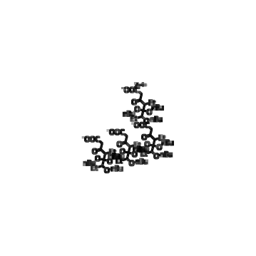 CCCCOC(CC)C(OCCCC)(OCCCC)C(CC)C(=O)CC(=O)[O-].CCCCOC(CC)C(OCCCC)(OCCCC)C(CC)C(=O)CC(=O)[O-].CCCCOC(CC)C(OCCCC)(OCCCC)C(CC)C(=O)CC(=O)[O-].CCCCOC(CC)C(OCCCC)(OCCCC)C(CC)C(=O)CC(=O)[O-].[Zr+4]